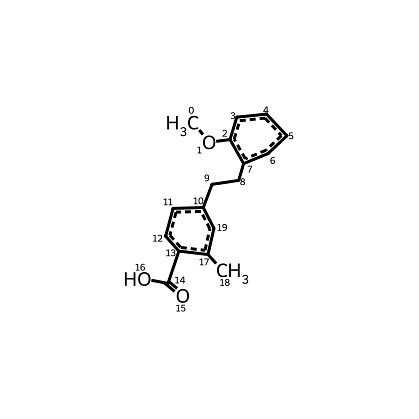 COc1ccccc1CCc1ccc(C(=O)O)c(C)c1